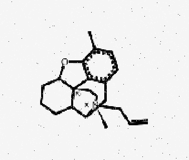 C=CC[N@@+]1(C)CC[C@]23c4c5ccc(C)c4OC2CCCC3C1C5